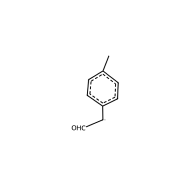 Cc1ccc([CH]C=O)cc1